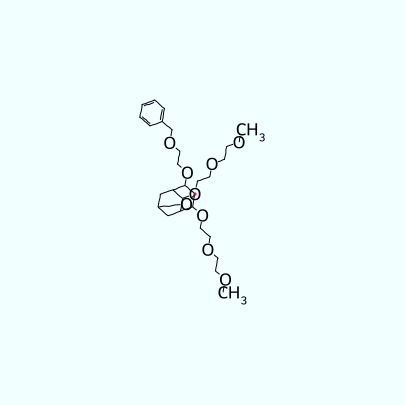 COCCOCCOC1C2CC3CC1C(OCCOCc1ccccc1)C(O3)C2OCCOCCOC